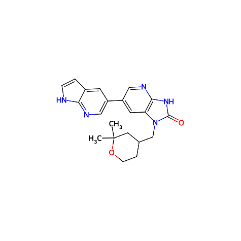 CC1(C)CC(Cn2c(=O)[nH]c3ncc(-c4cnc5[nH]ccc5c4)cc32)CCO1